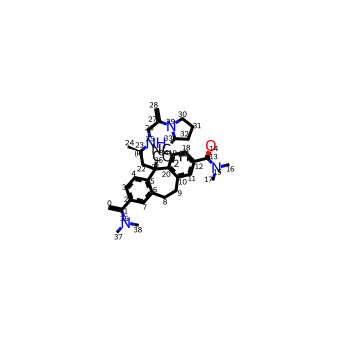 C=C(c1ccc2c(c1)CCc1cc(C(=O)N(C)C)ccc1C2(C[C@@H](C)NCC(=C)N1CCCC1C#N)C(=O)O)N(C)C